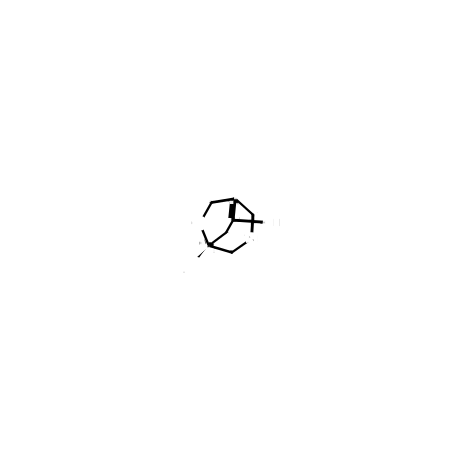 CC1=C2CNC[C@@H](C1)OC2